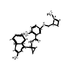 Cc1cc(C2(NC(=O)c3cc(OCC4CCN4C)ccc3C)CC2)c2ccccc2c1